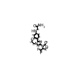 NC(=O)CNc1ccc2c(c1)OCCn1nc(N3C(=O)OCC3C(F)F)nc1-2